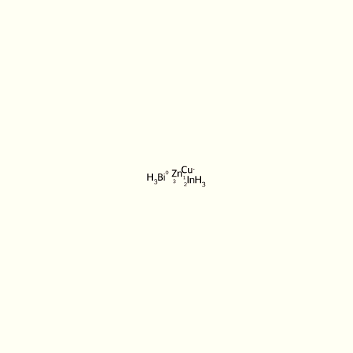 [BiH3].[Cu].[InH3].[Zn]